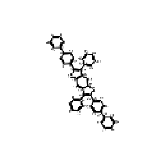 c1ccc(-c2ccc(-c3sc4cc5c(-c6ccccc6)c(-c6ccc(-c7ccccc7)cc6)sc5cc4c3-c3ccccc3)cc2)cc1